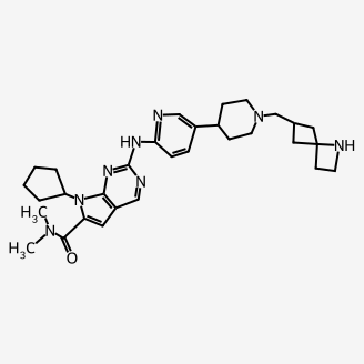 CN(C)C(=O)c1cc2cnc(Nc3ccc(C4CCN(CC5CC6(CCN6)C5)CC4)cn3)nc2n1C1CCCC1